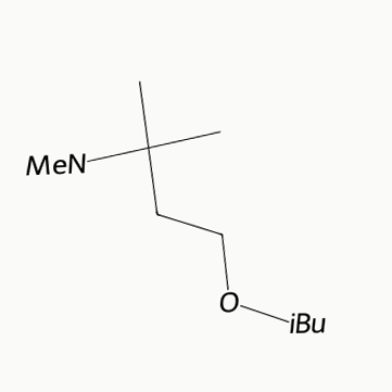 CCC(C)OCCC(C)(C)NC